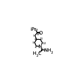 C=C(N)N1CCC(CC(=O)C(C)C)CC1